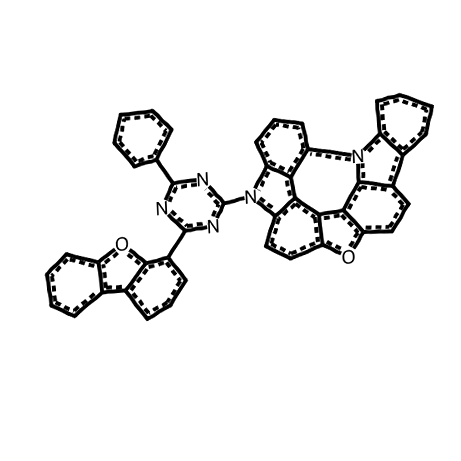 c1ccc(-c2nc(-c3cccc4c3oc3ccccc34)nc(-n3c4ccc5oc6ccc7c8ccccc8n8c9cccc3c9c4c5c6c78)n2)cc1